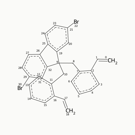 C=Cc1ccccc1CC1(Cc2ccccc2C=C)c2cc(Br)ccc2-c2ccc(Br)cc21